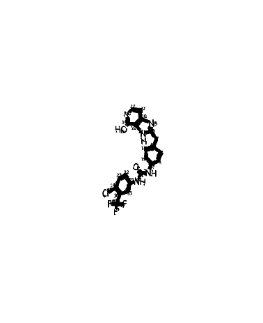 O=C(Nc1ccc(Cc2nc3ccnc(O)c3[nH]2)cc1)Nc1ccc(Cl)c(C(F)(F)F)c1